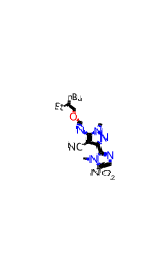 CCCCC(CC)COC=Nc1c(C#N)c(-c2ncc([N+](=O)[O-])n2C)nn1C